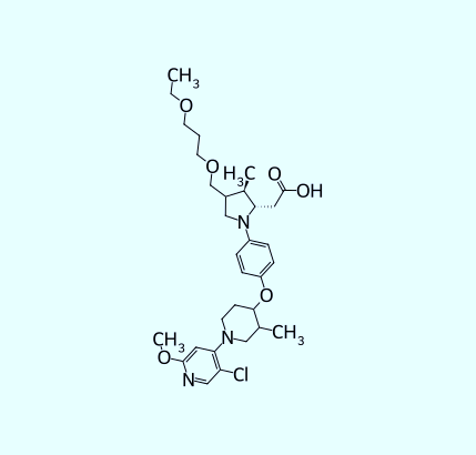 CCOCCCOCC1CN(c2ccc(OC3CCN(c4cc(OC)ncc4Cl)CC3C)cc2)[C@@H](CC(=O)O)[C@@H]1C